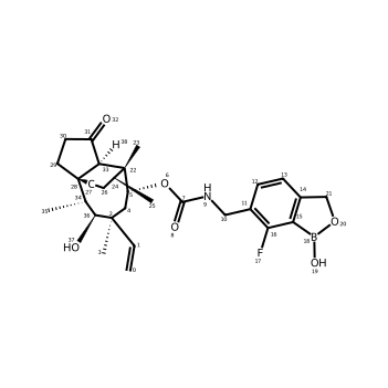 C=C[C@]1(C)C[C@@H](OC(=O)NCc2ccc3c(c2F)B(O)OC3)[C@]2(C)[C@H](C)CC[C@]3(CCC(=O)[C@H]32)[C@@H](C)[C@@H]1O